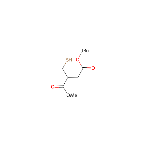 COC(=O)C(CS)CC(=O)OC(C)(C)C